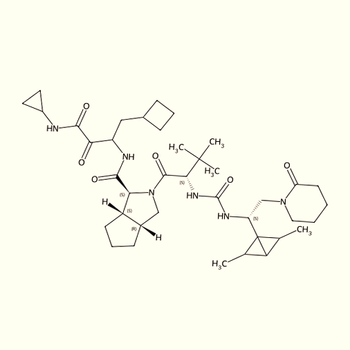 CC1C2C(C)C12[C@@H](CN1CCCCC1=O)NC(=O)N[C@H](C(=O)N1C[C@@H]2CCC[C@@H]2[C@H]1C(=O)NC(CC1CCC1)C(=O)C(=O)NC1CC1)C(C)(C)C